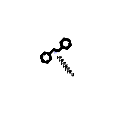 C(=C\c1ccccc1)/c1ccccc1.F.F.F.F.F.F.[U]